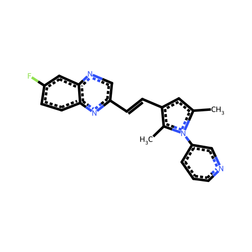 Cc1cc(/C=C/c2cnc3cc(F)ccc3n2)c(C)n1-c1cccnc1